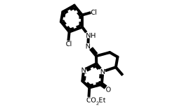 CCOC(=O)c1cnc2n(c1=O)C(C)CCC2=NNc1c(Cl)cccc1Cl